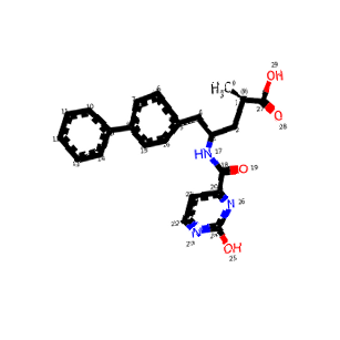 C[C@H](CC(Cc1ccc(-c2ccccc2)cc1)NC(=O)c1ccnc(O)n1)C(=O)O